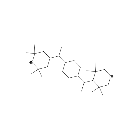 CC(C1CCC(C(C)C2C(C)(C)CNCC2(C)C)CC1)C1CC(C)(C)NC(C)(C)C1